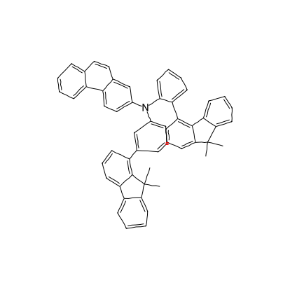 CC1(C)c2ccccc2-c2c(-c3ccccc3N(c3cccc(-c4cccc5c4C(C)(C)c4ccccc4-5)c3)c3ccc4c(ccc5ccccc54)c3)cccc21